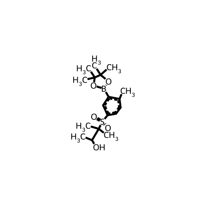 Cc1ccc(S(=O)(=O)C(C)(C)C(C)O)cc1B1OC(C)(C)C(C)(C)O1